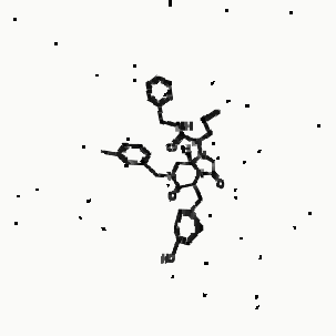 C=CCN(C(=O)NCc1ccccc1)N1CC(=O)N2[C@@H](Cc3ccc(O)cc3)C(=O)N(Cc3cccc(C)c3)C[C@@H]21